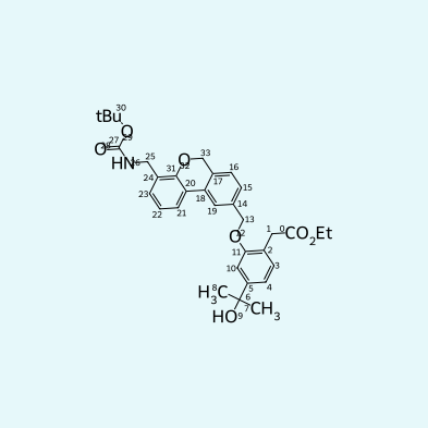 CCOC(=O)Cc1ccc(C(C)(C)O)cc1OCc1ccc2c(c1)-c1cccc(CNC(=O)OC(C)(C)C)c1OC2